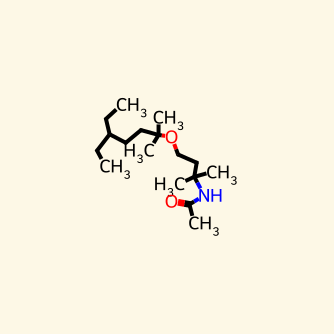 CCC(CC)CCC(C)(C)OCCC(C)(C)NC(C)=O